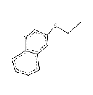 [CH2]CSc1cnc2ccccc2c1